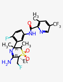 CC[C@]1(CF)C(N)=N[C@](C)(c2cc(NC(=O)c3ncc(C(F)(F)F)cc3C)ccc2F)C(C)S1(=O)=O